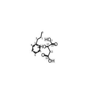 CCCc1ccccc1.O=C(O)CC(O)C(=O)O